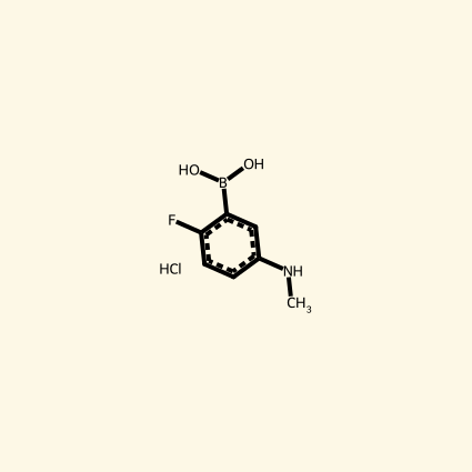 CNc1ccc(F)c(B(O)O)c1.Cl